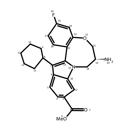 COC(=O)c1ccc2c(C3CCCCC3)c3n(c2c1)C[C@@H](N)COc1cc(F)ccc1-3